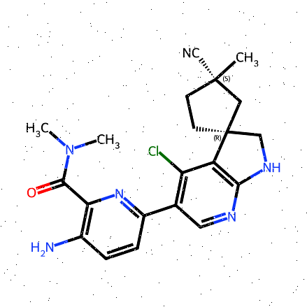 CN(C)C(=O)c1nc(-c2cnc3c(c2Cl)[C@]2(CC[C@](C)(C#N)C2)CN3)ccc1N